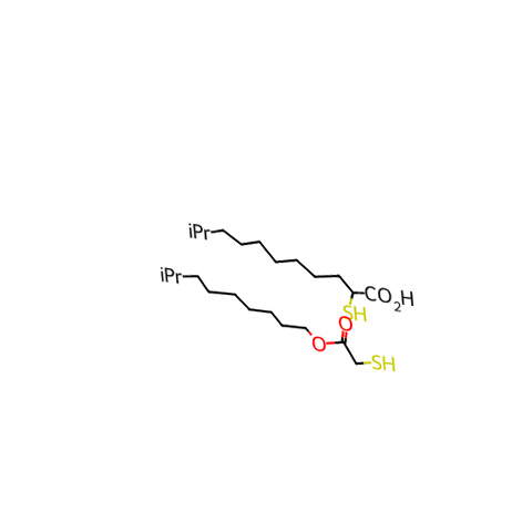 CC(C)CCCCCCCC(S)C(=O)O.CC(C)CCCCCCCOC(=O)CS